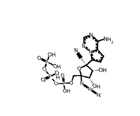 N#C[C@@]1(c2ccc3c(N)ncnn23)OC(COP(=O)(O)OP(=O)(O)OP(=O)(O)O)(N=[N+]=[N-])[C@@H](O)[C@H]1O